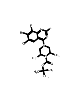 CC1CN(c2nc(Cl)nc3c(F)c(Br)c(Cl)cc23)CC(C)N1C(=O)OC(C)(C)C